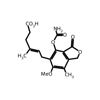 COc1c(C)c2c(c(OC(N)=O)c1C/C=C(\C)CCC(=O)O)C(=O)OC2